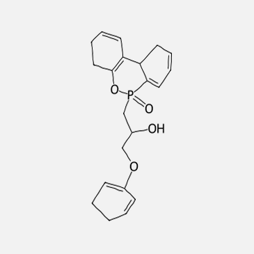 O=P1(CC(O)COC2=CCCC=C2)OC2=C(C=CCC2)C2CC=CC=C21